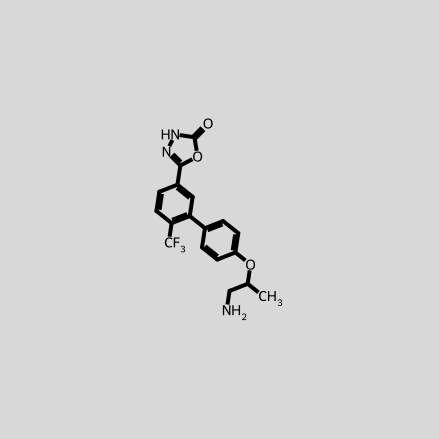 CC(CN)Oc1ccc(-c2cc(-c3n[nH]c(=O)o3)ccc2C(F)(F)F)cc1